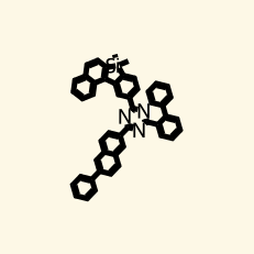 C[Si]1(C)c2ccc(-c3nc(-c4ccc5cc(-c6ccccc6)ccc5c4)nc(-c4ccccc4-c4ccccc4)n3)cc2-c2c1ccc1ccccc21